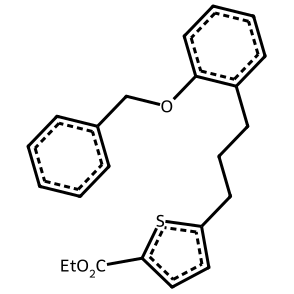 CCOC(=O)c1ccc(CCCc2ccccc2OCc2ccccc2)s1